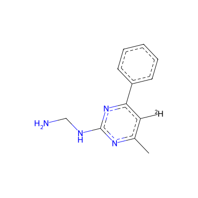 [2H]c1c(C)nc(NCN)nc1-c1ccccc1